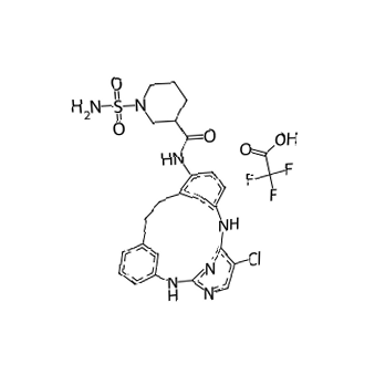 NS(=O)(=O)N1CCCC(C(=O)Nc2ccc3cc2CCc2cccc(c2)Nc2ncc(Cl)c(n2)N3)C1.O=C(O)C(F)(F)F